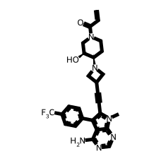 C=CC(=O)N1CC[C@@H](N2CC(C#Cc3c(-c4ccc(C(F)(F)F)cc4)c4c(N)ncnc4n3C)C2)[C@@H](O)C1